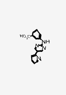 O=C(O)c1cccc(Nc2ncc(-c3ccccn3)cn2)c1